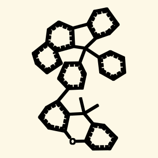 CC1(C)c2ccccc2Oc2cccc(-c3ccc(C4(c5ccccc5)c5ccccc5-c5ccc6ccccc6c54)cc3)c21